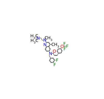 Cc1cc(N(C)CCN(C)C)nc2ccc(N(Cc3ccc(F)c(F)c3)C(=O)C=Cc3ccc(OC(F)(F)F)cc3)cc12